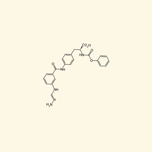 NN=CNc1cccc(C(=O)Nc2ccc(C[C@H](NC(=O)Oc3ccccc3)C(=O)O)cc2)c1